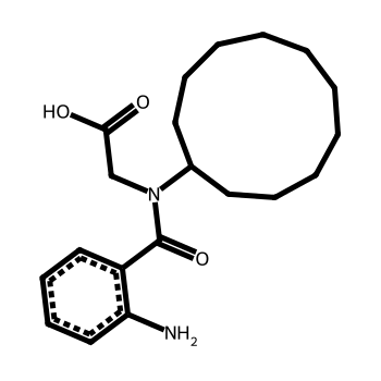 Nc1ccccc1C(=O)N(CC(=O)O)C1CCCCCCCCCC1